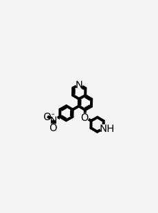 O=[N+]([O-])c1ccc(-c2c(OC3CCNCC3)ccc3cnccc23)cc1